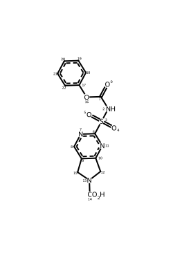 O=C(NS(=O)(=O)c1ncc2c(n1)CN(C(=O)O)C2)Oc1ccccc1